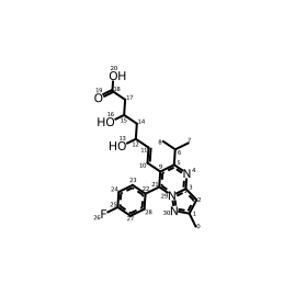 Cc1cc2nc(C(C)C)c(/C=C/C(O)CC(O)CC(=O)O)c(-c3ccc(F)cc3)n2n1